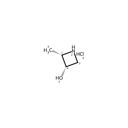 C[C@@H]1NC[C@@H]1O.Cl